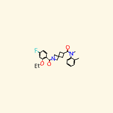 CCOc1cc(F)ccc1C(=O)N1CC2(CC(C(=O)N(C)c3ccccc3C)C2)C1